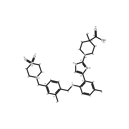 Cc1ccc(OCc2ccc(CN3CCS(=O)(=O)CC3)cc2C)c(-c2csc(N3CCC(C)(C(=O)O)CC3)n2)c1